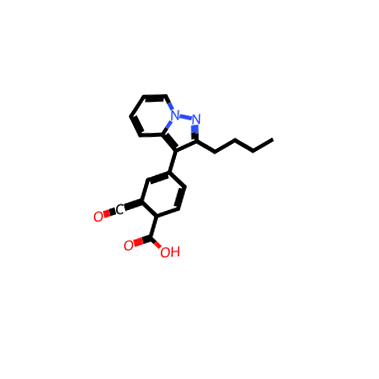 CCCCc1nn2ccccc2c1C1=CC(=C=O)C(C(=O)O)C=C1